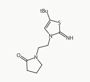 CC(C)(C)c1cn(CCN2CCCC2=O)c(=N)s1